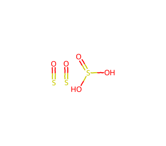 O=S.O=S.O=S(O)O